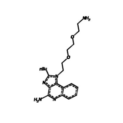 CCCCc1nc2c(N)nc3ccccc3c2n1CCOCCOCCN